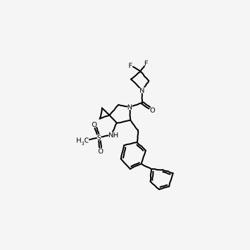 CS(=O)(=O)NC1C(Cc2cccc(-c3ccccc3)c2)N(C(=O)N2CC(F)(F)C2)CC12CC2